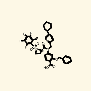 O=C(O)c1ccc(N(Cc2ccc(C3CCCCC3)cn2)C(=O)[C@H]2CCN2S(=O)(=O)c2c(F)c(F)c(F)c(F)c2F)cc1OCc1ccccc1